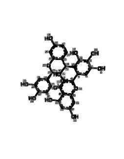 O=c1c(O)c(-c2cc(O)c(O)c(O)c2[C@@H]2c3ccc(O)cc3O[C@H](c3ccc(O)c(O)c3)[C@H]2O)oc2cc(O)cc(O)c12